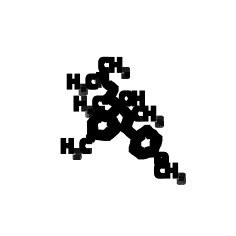 COc1ccc(/C=C(\C)C(O)(c2ccc(C)cc2)C(C)CN(C)C)cc1